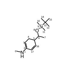 CNC1=CCC(C(C)O[Si](C)(C)C(C)(C)C)C=C1